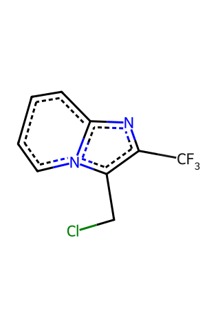 FC(F)(F)c1nc2ccccn2c1CCl